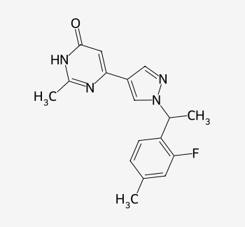 Cc1ccc(C(C)n2cc(-c3cc(=O)[nH]c(C)n3)cn2)c(F)c1